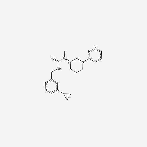 CN(C(=O)NCc1cccc(C2CC2)c1)[C@@H]1CCCN(c2cccnn2)C1